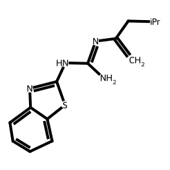 C=C(CC(C)C)/N=C(\N)Nc1nc2ccccc2s1